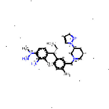 Cc1ccc([C@@H](CC(=O)O)c2ccc(N(C)N)c(N)c2C)cc1CN1CCCC(N2C=CCN2)C1